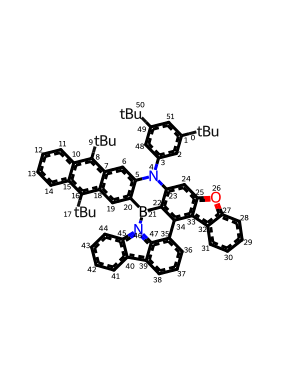 CC(C)(C)c1cc(N2c3cc4c(C(C)(C)C)c5ccccc5c(C(C)(C)C)c4cc3B3c4c2cc2oc5ccccc5c2c4-c2cccc4c5ccccc5n3c24)cc(C(C)(C)C)c1